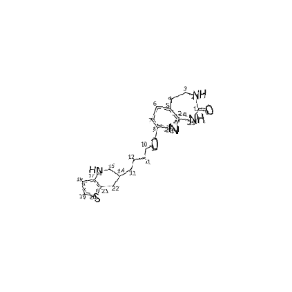 O=C1NCCc2ccc(OCCCCC3CNc4ccsc4C3)nc2N1